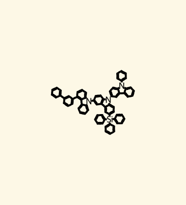 c1ccc(-c2cccc(-c3cccc4c3c3ccccc3n4-c3ccc4c(c3)c3cc([Si](c5ccccc5)(c5ccccc5)c5ccccc5)ccc3n4-c3ccc4c(c3)c3ccccc3n4-c3ccccc3)c2)cc1